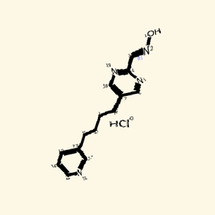 Cl.O/N=C/c1ncc(CCCCc2cccnc2)cn1